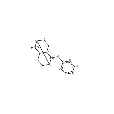 c1ccc(CN2C3CCC4NC3CCC42)cc1